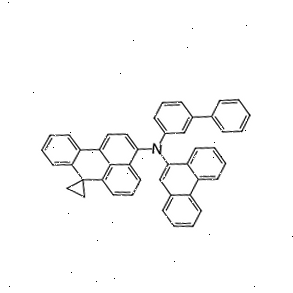 c1ccc(-c2cccc(N(c3ccc4c5c(cccc35)C3(CC3)c3ccccc3-4)c3cc4ccccc4c4ccccc34)c2)cc1